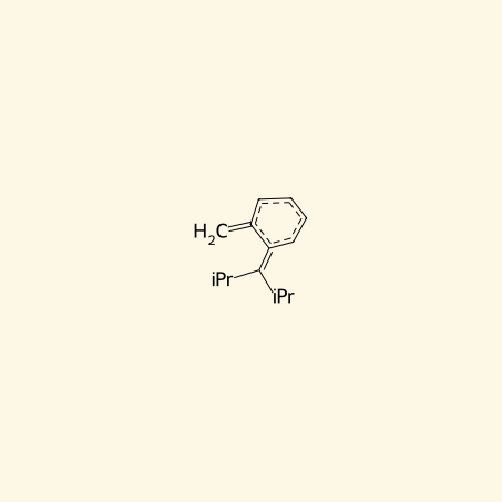 C=c1ccccc1=C(C(C)C)C(C)C